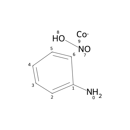 Nc1ccccc1.O=NO.[Co]